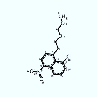 COCOCCc1ccc([N+](=O)[O-])c2ccnc(Cl)c12